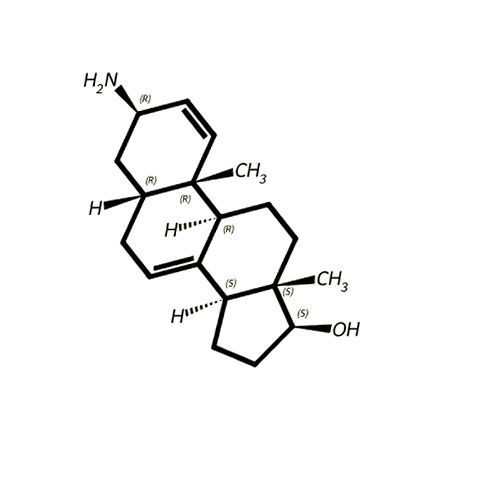 C[C@]12C=C[C@H](N)C[C@H]1CC=C1[C@@H]2CC[C@]2(C)[C@@H](O)CC[C@@H]12